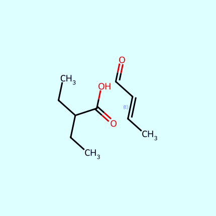 C/C=C/C=O.CCC(CC)C(=O)O